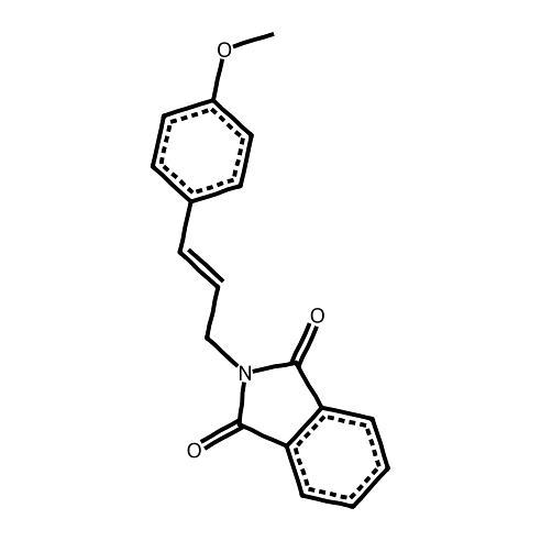 COc1ccc(C=CCN2C(=O)c3ccccc3C2=O)cc1